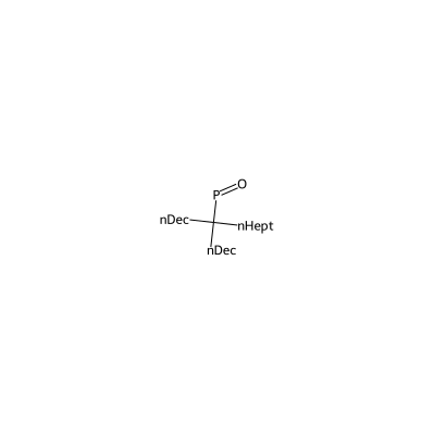 CCCCCCCCCCC(CCCCCCC)(CCCCCCCCCC)P=O